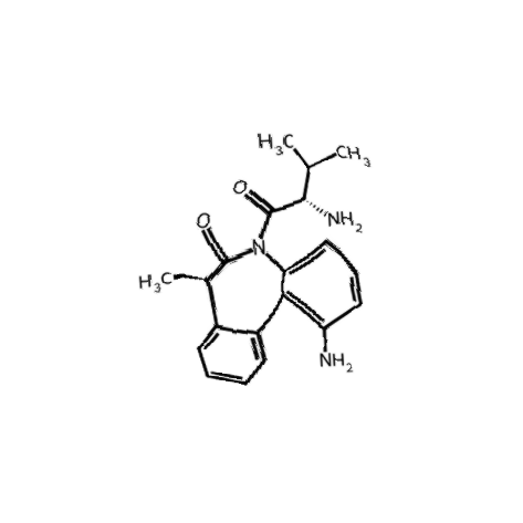 CC(C)[C@H](N)C(=O)N1C(=O)[C@H](C)c2ccccc2-c2c(N)cccc21